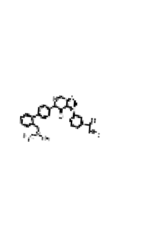 CCCN(C)Cc1ccccc1-c1ccc(C2N=Cc3ncn(-c4cccc(C(N)=O)c4)c3C2=O)cc1